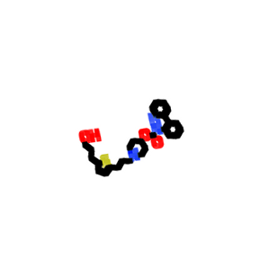 O=C(Nc1ccccc1-c1ccccc1)OC1CCN(CCCc2ccc(CCCO)s2)CC1